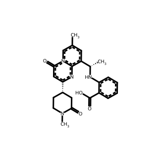 Cc1cc([C@H](C)Nc2ccccc2C(=O)O)c2nc([C@H]3CCN(C)C(=O)C3)cc(=O)n2c1